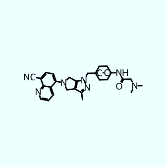 Cc1nn(CC23CCC(NC(=O)CN(C)C)(CC2)CC3)c2c1CN(c1ccc(C#N)c3ncccc13)C2